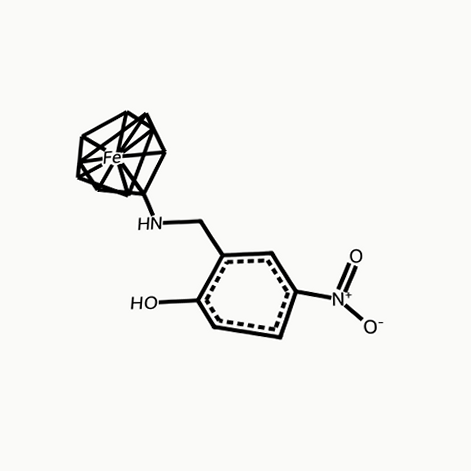 O=[N+]([O-])c1ccc(O)c(CN[C]23[CH]4[CH]5[CH]6[CH]2[Fe]56432789[CH]3[CH]2[CH]7[CH]8[CH]39)c1